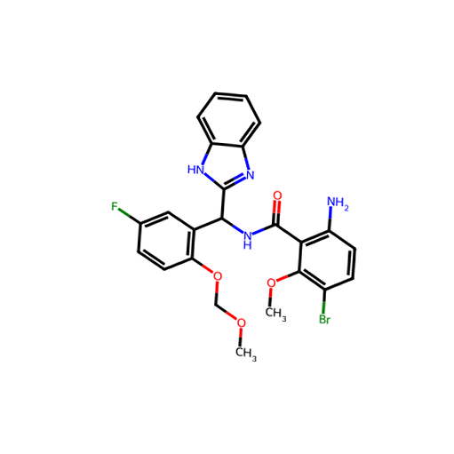 COCOc1ccc(F)cc1C(NC(=O)c1c(N)ccc(Br)c1OC)c1nc2ccccc2[nH]1